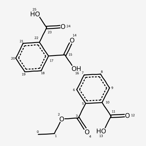 CCOC(=O)c1ccccc1C(=O)O.O=C(O)c1ccccc1C(=O)O